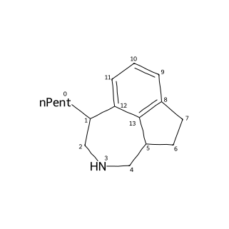 CCCCCC1CNCC2CCc3cccc1c32